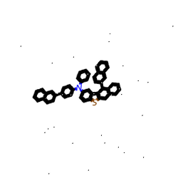 c1ccc(N(c2ccc(-c3ccc4ccccc4c3)cc2)c2ccc3sc4cc5ccccc5c(-c5ccc6ccccc6c5)c4c3c2)cc1